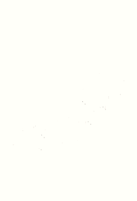 C#Cc1ccc2nc(Nc3ccc(N4CCOCC4)cc3)ncc2c1